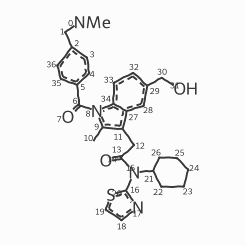 CNCc1ccc(C(=O)n2c(C)c(CC(=O)N(c3nccs3)C3CCCCC3)c3cc(CO)ccc32)cc1